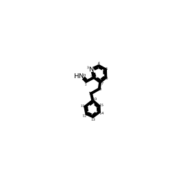 N=Cc1ncccc1CCc1ccccc1